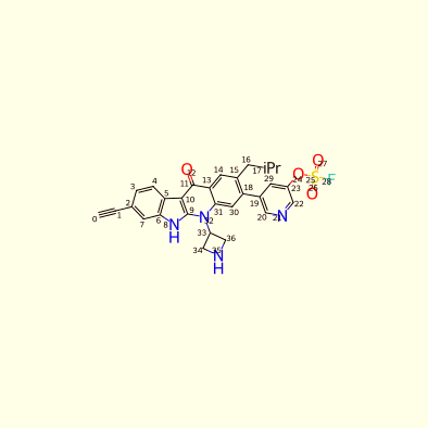 C#Cc1ccc2c(c1)[nH]c1c2c(=O)c2cc(CC(C)C)c(-c3cncc(OS(=O)(=O)F)c3)cc2n1C1CNC1